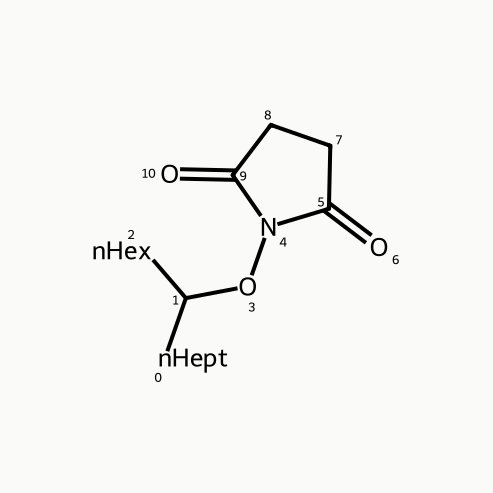 CCCCCCCC(CCCCCC)ON1C(=O)CCC1=O